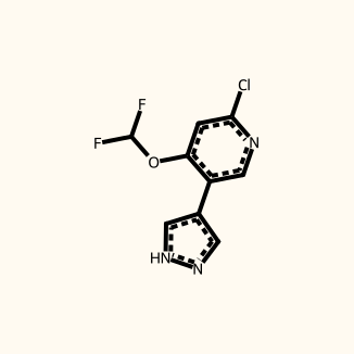 FC(F)Oc1cc(Cl)ncc1-c1cn[nH]c1